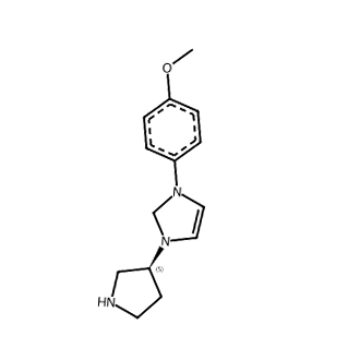 COc1ccc(N2C=CN([C@H]3CCNC3)C2)cc1